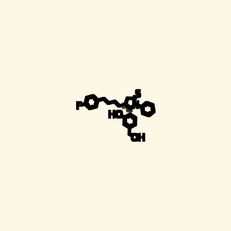 OCc1ccc([C@@H]2[C@@H](CCCCc3ccc(F)cc3)CC(=S)N2c2ccccc2)c(O)c1